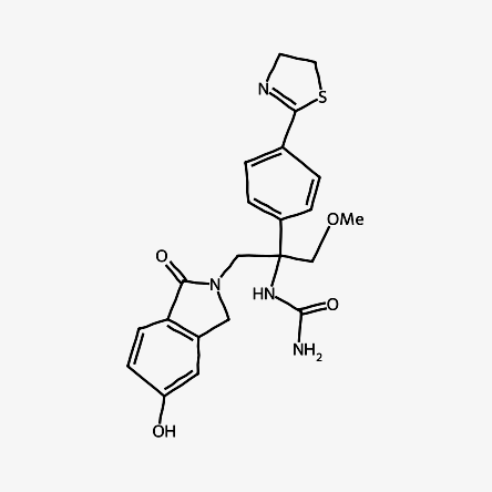 COCC(CN1Cc2cc(O)ccc2C1=O)(NC(N)=O)c1ccc(C2=NCCS2)cc1